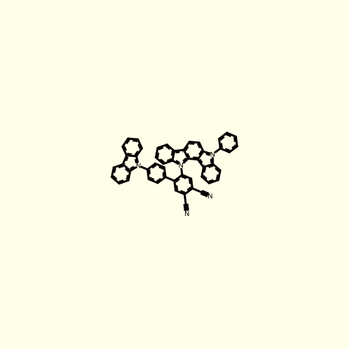 N#Cc1cc(-c2ccc(-n3c4ccccc4c4ccccc43)cc2)c(-n2c3ccccc3c3ccc4c(c5ccccc5n4-c4ccccc4)c32)cc1C#N